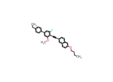 CCCCOc1ccc2cc(C#Cc3c(F)cc(-c4ccc(CC)cc4)cc3OC)ccc2c1